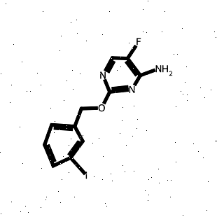 Nc1nc(OCc2cccc(I)c2)ncc1F